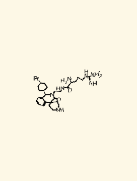 CC(C)[C@H]1CC[C@@H](C2c3ccccc3C3(CCNCC3)C(=O)N2CCNC(=O)[C@@H](N)CCCNC(=N)N)CC1